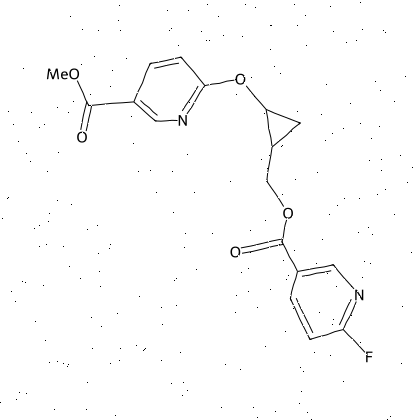 COC(=O)c1ccc(OC2CC2COC(=O)c2ccc(F)nc2)nc1